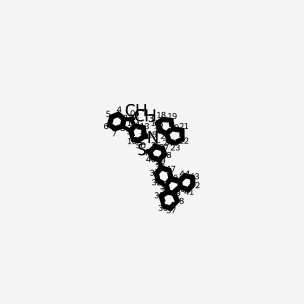 CC1(C)c2ccccc2-c2cc3c(cc21)N(c1cccc2ccccc12)c1ccc(-c2ccc4c5ccccc5c5ccccc5c4c2)cc1S3